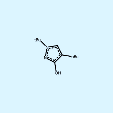 CCCCc1cn(C(C)(C)C)nc1O